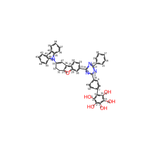 Oc1c(O)c(O)c(-c2ccc(-c3nc(-c4ccccc4)nc(-c4ccc5c6c(oc5c4)CCC(n4c5ccccc5c5ccccc54)=C6)n3)cc2)c(O)c1O